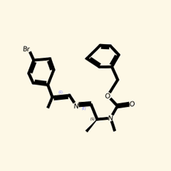 C/C(=C\N=C\[C@H](C)N(C)C(=O)OCc1ccccc1)c1ccc(Br)cc1